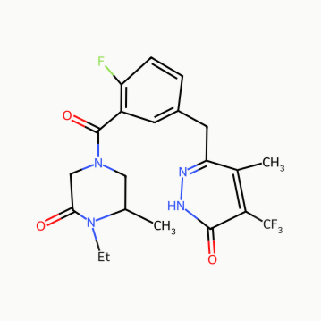 CCN1C(=O)CN(C(=O)c2cc(Cc3n[nH]c(=O)c(C(F)(F)F)c3C)ccc2F)CC1C